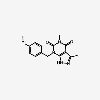 COc1ccc(Cn2c(=O)n(C)c(=O)c3c(I)n[nH]c32)cc1